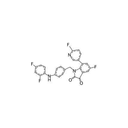 O=C1C(=O)N(Cc2ccc(Nc3ccc(F)cc3F)cc2)c2c1cc(F)cc2-c1ccc(F)nc1